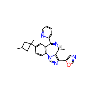 CC1CC(C)(c2ccc3c(c2)C(c2ccccn2)=N[C@@H](C)c2c(-c4cnco4)ncn2-3)C1